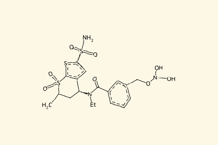 CCN(C(=O)c1cccc(CON(O)O)c1)[C@H]1CC(C)S(=O)(=O)c2sc(S(N)(=O)=O)cc21